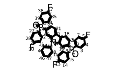 O=P(c1ccc(F)cc1)(c1ccc(F)cc1)c1ccc2c3ccc(P(=O)(c4ccc(F)cc4)c4ccc(F)cc4)cc3n(-c3ccccc3)c2c1